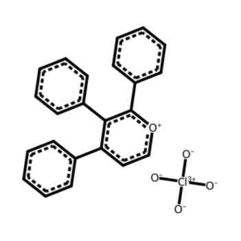 [O-][Cl+3]([O-])([O-])[O-].c1ccc(-c2cc[o+]c(-c3ccccc3)c2-c2ccccc2)cc1